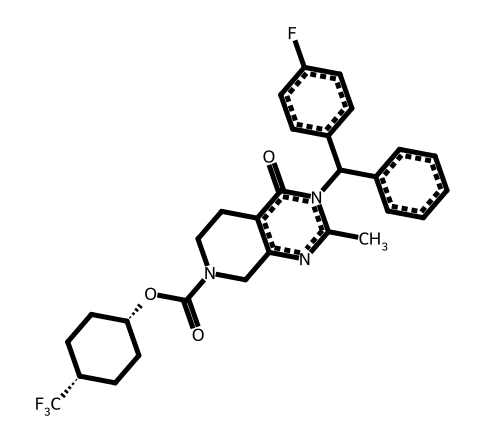 Cc1nc2c(c(=O)n1C(c1ccccc1)c1ccc(F)cc1)CCN(C(=O)O[C@H]1CC[C@@H](C(F)(F)F)CC1)C2